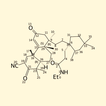 CCNC(=O)CC[C@]1(CC[C@]2(C)CC(=O)C=C3[C@@]4(C)C=C(C#N)C(=O)C(C)(C)[C@@H]4CC[C@]32C)CCC(C)(C)CC1C